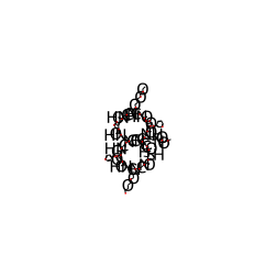 CCCOCCOCCN1CCNC(=O)c2cccc(c2C)C(=O)CCCN2CCN(CCNC(=O)c3cccc(c3C)C(=O)NCCN(CCOCCOCCOC)CCNC(=O)c3cccc(c3OCc3ccccc3)C(=O)NC(CCCCNC(=O)OC(C)(C)C)C2)CCNC(=O)c2cccc(c2OCc2ccccc2)C(=O)NCC1